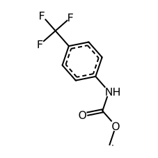 [CH2]OC(=O)Nc1ccc(C(F)(F)F)cc1